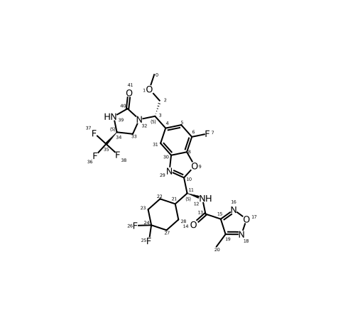 COC[C@H](c1cc(F)c2oc([C@@H](NC(=O)c3nonc3C)C3CCC(F)(F)CC3)nc2c1)N1C[C@@H](C(F)(F)F)NC1=O